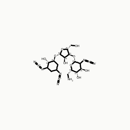 [N-]=[N+]=NC1CC(N=[N+]=[N-])[C@H](O)[C@@H](O[C@@H]2O[C@H](CO)[C@@H](O[C@H]3O[C@@H](CN)[C@@H](O)[C@H](O)C3N=[N+]=[N-])[C@H]2O)C1